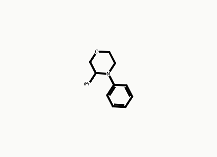 CC(C)C1COCCN1c1ccccc1